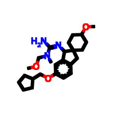 COCN(C)/C(N)=N\C1c2cc(OCC3CCCC3)ccc2CC12CCC(OC)CC2